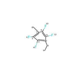 C[CH]c1c(F)c(F)c(C)c(F)c1F